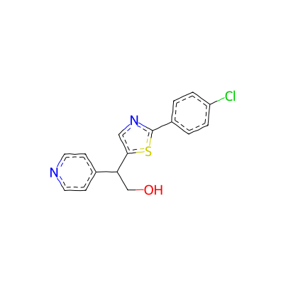 OCC(c1ccncc1)c1cnc(-c2ccc(Cl)cc2)s1